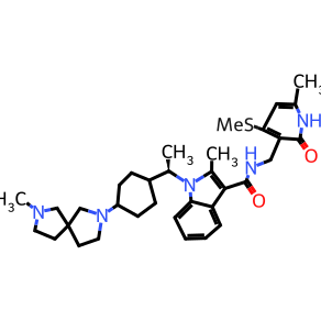 CSc1cc(C)[nH]c(=O)c1CNC(=O)c1c(C)n([C@H](C)C2CCC(N3CCC4(CCN(C)C4)C3)CC2)c2ccccc12